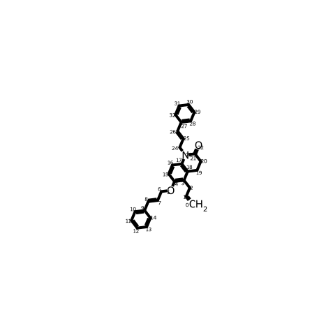 C=CCc1c(OCC=Cc2ccccc2)ccc2c1CCC(=O)N2CC=Cc1ccccc1